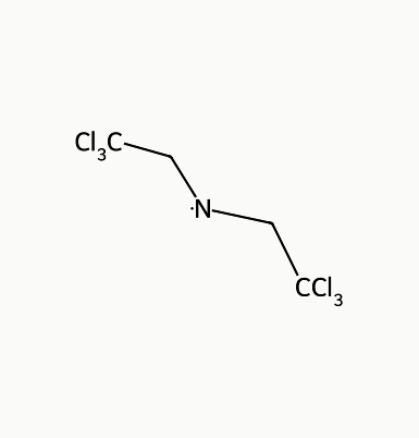 ClC(Cl)(Cl)C[N]CC(Cl)(Cl)Cl